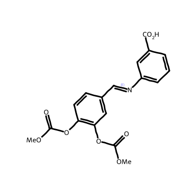 COC(=O)Oc1ccc(/C=N/c2cccc(C(=O)O)c2)cc1OC(=O)OC